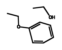 CCO.CCOc1ccccc1